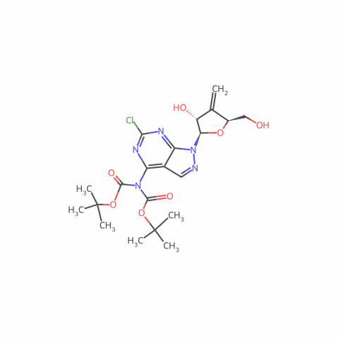 C=C1[C@@H](O)[C@H](n2ncc3c(N(C(=O)OC(C)(C)C)C(=O)OC(C)(C)C)nc(Cl)nc32)O[C@@H]1CO